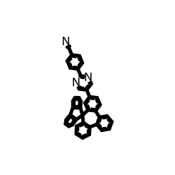 N#Cc1ccc(-c2ncc(-c3ccc4c(c3)C3(c5ccccc5-c5ccccc5-4)c4ccccc4-c4ccccc43)cn2)cc1